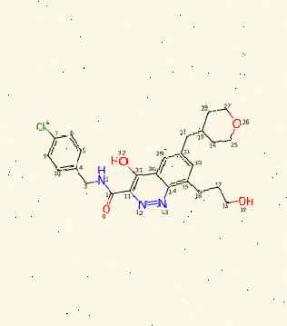 O=C(NCc1ccc(Cl)cc1)c1nnc2c(CCCO)cc(CC3CCOCC3)cc2c1O